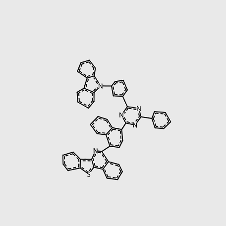 c1ccc(-c2nc(-c3cccc(-n4c5ccccc5c5ccccc54)c3)nc(-c3ccc(-c4nc5c6ccccc6sc5c5ccccc45)c4ccccc34)n2)cc1